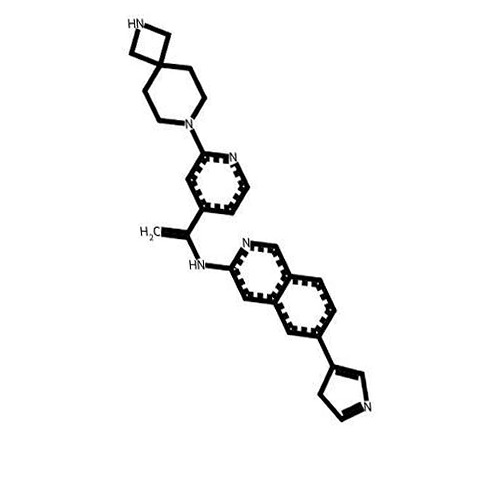 C=C(Nc1cc2cc(C3=CN=CC3)ccc2cn1)c1ccnc(N2CCC3(CC2)CNC3)c1